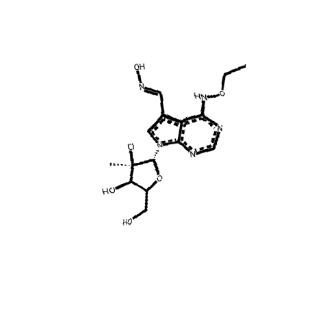 CCONc1ncnc2c1c(C=NO)cn2[C@@H]1OC(CO)C(O)[C@@]1(C)Cl